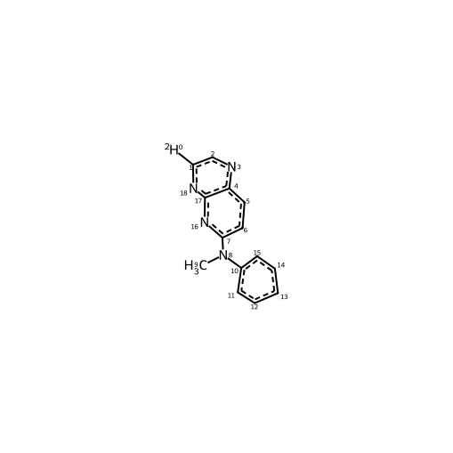 [2H]c1cnc2ccc(N(C)c3ccccc3)nc2n1